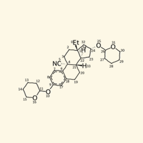 CC[C@]12CC[C@]3(C#N)c4ccc(OC5CCCCO5)cc4CC[C@H]3[C@@H]1C[C@@H](OC1CCCCO1)C2